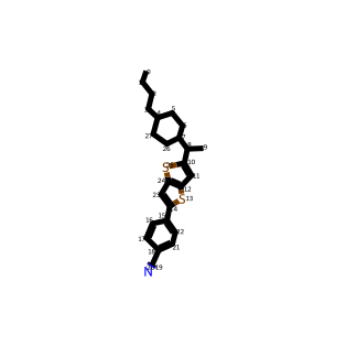 CCCCC1CCC(C(C)c2cc3sc(-c4ccc(C#N)cc4)cc3s2)CC1